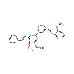 COc1ccccc1/C=C/c1cccc(-c2cc(/C=C/c3ccccc3)c(OC)c(OC)c2)c1